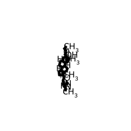 CCOC[C@@]1(O)CC[C@@]2(CC)[C@@H](CC[C@H]3[C@@H]4CC[C@H](C(=O)Cn5nnc(C)n5)[C@@]4(C)CC[C@@H]32)C1